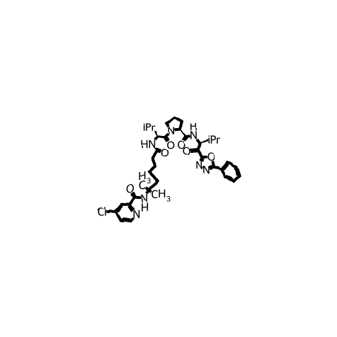 CC(C)[C@H](NC(=O)[C@@H]1CCCN1C(=O)[C@@H](NC(=O)CCCCC(C)(C)NC(=O)c1cc(Cl)ccn1)C(C)C)C(=O)c1nnc(-c2ccccc2)o1